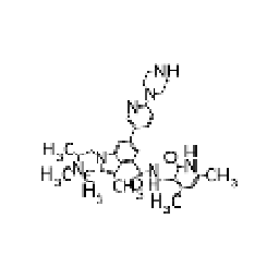 Cc1cc(C)c(CNC(=O)c2cc(-c3ccc(N4CCNCC4)nc3)cc3c2c(C)cn3CC(C)N(C)C)c(=O)[nH]1